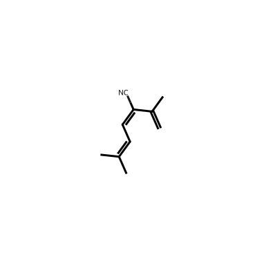 C=C(C)/C(C#N)=C\C=C(C)C